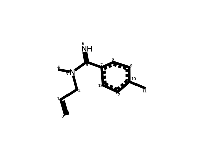 C=CCN(C)C(=N)c1ccc(C)cc1